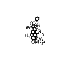 CC(C)C1=C2C3CCC4C(C)(CCC5C(C)(C)[C@@H](O)CC[C@@]54C)[C@]3(C)CC[C@@]2(NC(=O)OC2CCCCC2)CC1=O